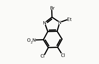 CCn1c(Br)nc2c([N+](=O)[O-])c(Cl)c(Cl)cc21